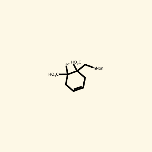 CCCCCCCCCCC1(C(=O)O)CC=CCC1(C(=O)O)C(C)C